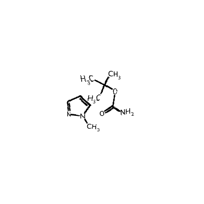 CC(C)(C)OC(N)=O.Cn1cccn1